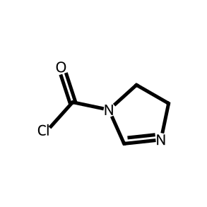 O=C(Cl)N1C=NCC1